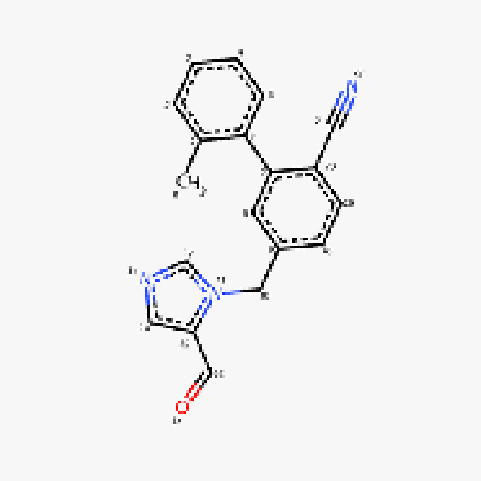 Cc1ccccc1-c1cc(Cn2cncc2C=O)ccc1C#N